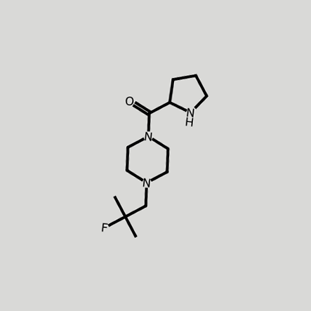 CC(C)(F)CN1CCN(C(=O)C2CCCN2)CC1